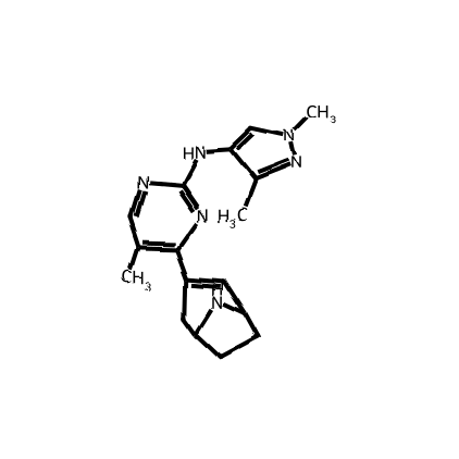 Cc1cnc(Nc2cn(C)nc2C)nc1C1=CC2CCC(C1)N2